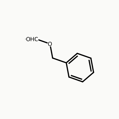 O=[C]OCc1ccccc1